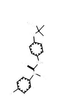 CC(C)(Oc1ccc(NC(=O)N(Cl)c2ccc(F)cc2)cc1)C(=O)O